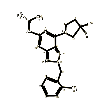 C[C@H](Oc1nc(N2CCC(F)(F)C2)c2nn(Cc3ccccc3C(F)(F)F)nc2n1)C(F)(F)F